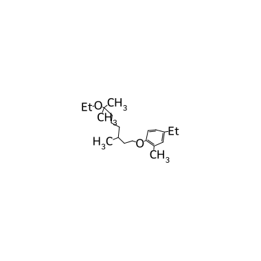 CCOC(C)(C)CCCC(C)CCOc1ccc(CC)cc1C